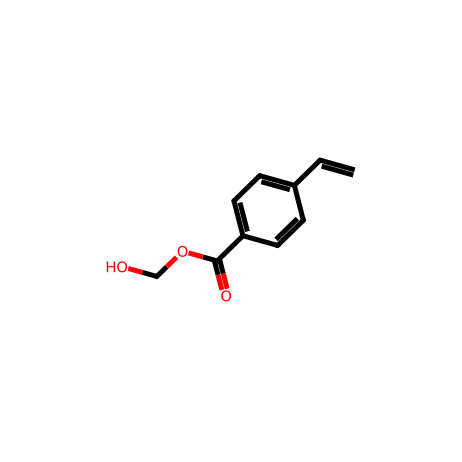 C=Cc1ccc(C(=O)OCO)cc1